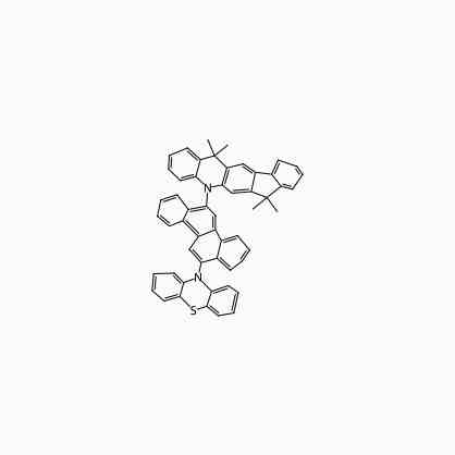 CC1(C)c2ccccc2-c2cc3c(cc21)N(c1cc2c4ccccc4c(N4c5ccccc5Sc5ccccc54)cc2c2ccccc12)c1ccccc1C3(C)C